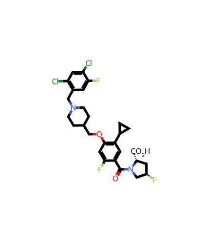 O=C(O)[C@@H]1C[C@@H](F)CN1C(=O)c1cc(C2CC2)c(OCC2CCN(Cc3cc(F)c(Cl)cc3Cl)CC2)cc1F